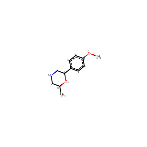 COc1ccc(C2C[N]CC(C)O2)cc1